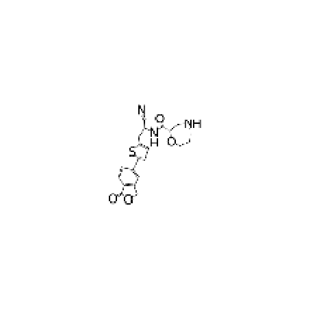 N#C[C@H](Cc1ccc(-c2ccc3c(c2)COC3=O)s1)NC(=O)[C@@H]1CNCCCO1